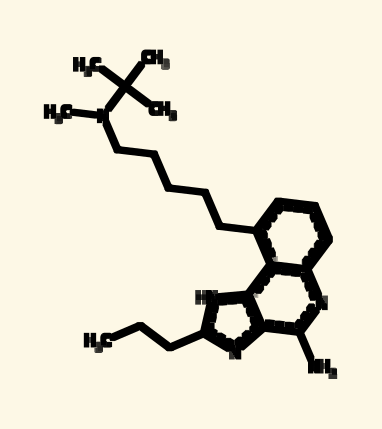 CCCc1nc2c(N)nc3cccc(CCCCCN(C)C(C)(C)C)c3c2[nH]1